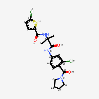 CC(C)(NC(=O)c1ccc(Cl)s1)C(=O)Nc1ccc(C(=O)N2CCCC2)c(Cl)c1